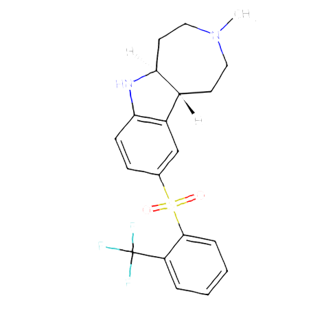 CN1CC[C@@H]2Nc3ccc(S(=O)(=O)c4ccccc4C(F)(F)F)cc3[C@H]2CC1